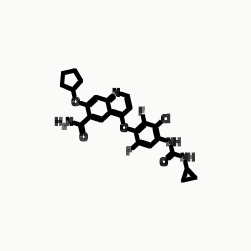 NC(=O)c1cc2c(Oc3c(F)cc(NC(=O)NC4CC4)c(Cl)c3F)ccnc2cc1OC1CCCC1